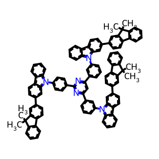 CC1(C)c2ccccc2-c2ccc(-c3ccc4c5ccccc5n(-c5ccc(-c6nc(-c7cccc(-n8c9ccccc9c9ccc(-c%10ccc%11c(c%10)C(C)(C)c%10ccccc%10-%11)cc98)c7)cc(-c7cccc(-n8c9ccccc9c9ccc(-c%10ccc%11c(c%10)C(C)(C)c%10ccccc%10-%11)cc98)c7)n6)cc5)c4c3)cc21